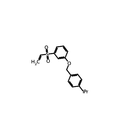 C=CS(=O)(=O)c1cccc(OCc2ccc(C(C)C)cc2)c1